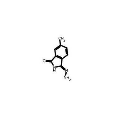 Cc1ccc2c(c1)C(=O)NC2=NN